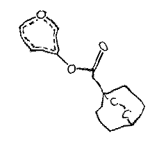 O=C(Oc1ccoc1)C12CCC(CC1)CC2